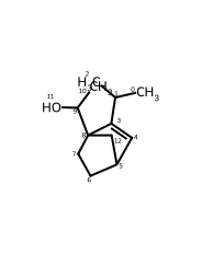 CC(C)C1=CC2CCC1(C(C)O)C2